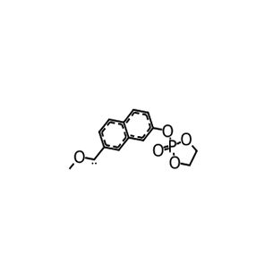 CO[C]c1ccc2ccc(OP3(=O)OCCO3)cc2c1